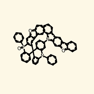 O=P1(c2ccccc2)c2ccccc2C2(c3ccccc3N(c3ccccc3)c3cc(-n4c5ccccc5c5cc6c(cc54)oc4ccccc46)ccc32)c2cc3c(cc21)oc1ccccc13